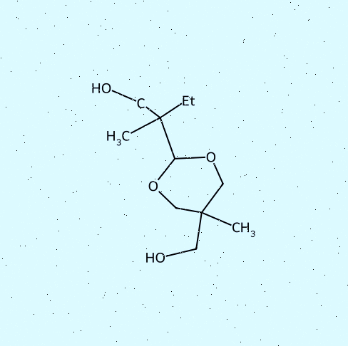 CCC(C)(CO)C1OCC(C)(CO)CO1